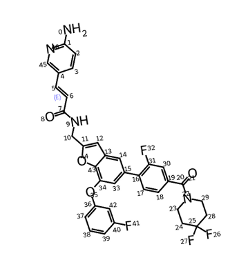 Nc1ccc(/C=C/C(=O)NCc2cc3cc(-c4ccc(C(=O)N5CCC(F)(F)CC5)cc4F)cc(Oc4cccc(F)c4)c3o2)cn1